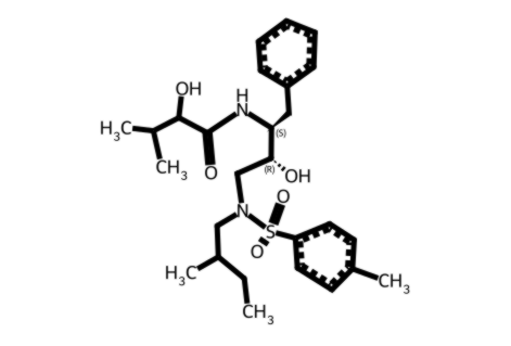 CCC(C)CN(C[C@@H](O)[C@H](Cc1ccccc1)NC(=O)C(O)C(C)C)S(=O)(=O)c1ccc(C)cc1